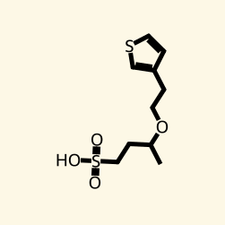 CC(CCS(=O)(=O)O)OCCc1ccsc1